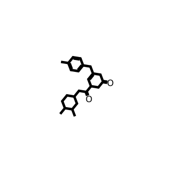 Cc1ccc(CC2=CC(C(=O)CC3CCC(C)C(C)C3)CC(=O)C2)cc1